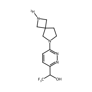 [2H]N1CC2(CCN(c3ccc(C(O)C(F)(F)F)nn3)C2)C1